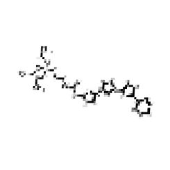 CCO[Si](CCCNC(=O)Cc1ccc(-c2ccc(-c3ccc(-c4ccccn4)s3)s2)s1)(OCC)OCC